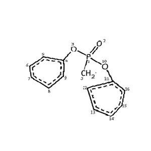 [CH2]P(=O)(Oc1ccccc1)Oc1ccccc1